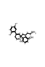 CC(=O)N1CCC(c2cc(F)ccc2F)=CC1(CCCCN)c1cccc(O)c1